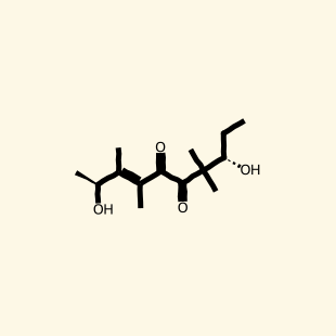 CC[C@H](O)C(C)(C)C(=O)C(=O)/C(C)=C(\C)[C@H](C)O